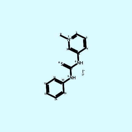 C[n+]1cccc(NC(=S)Nc2ccccc2)c1.[I-]